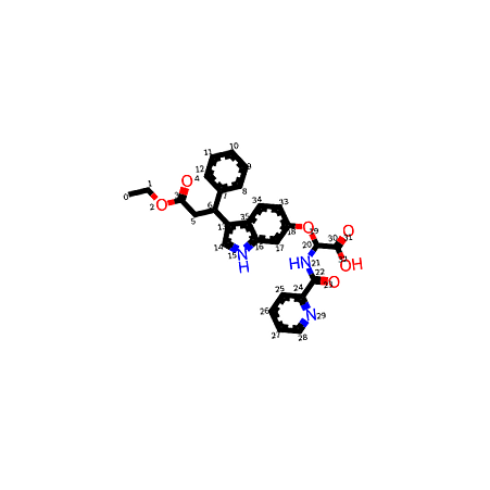 CCOC(=O)CC(c1ccccc1)c1c[nH]c2cc(OC(NC(=O)c3ccccn3)C(=O)O)ccc12